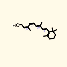 CC1=C(/C=C/C(C)=C/C=C\C(C)=C/CO)C(C)(C)CCC1